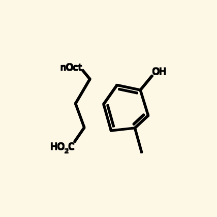 CCCCCCCCCCCC(=O)O.Cc1cccc(O)c1